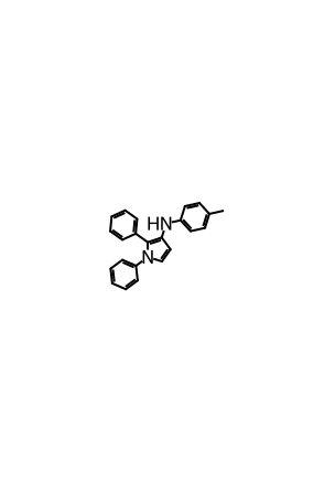 Cc1ccc(Nc2ccn(-c3ccccc3)c2-c2ccccc2)cc1